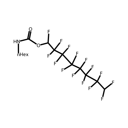 CCCCCCNC(=O)OC(F)C(F)(F)C(F)(F)C(F)(F)C(F)(F)C(F)(F)C(F)(F)C(F)F